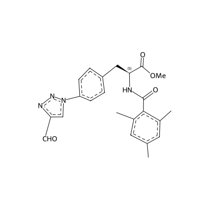 COC(=O)[C@H](Cc1ccc(-n2cc(C=O)nn2)cc1)NC(=O)c1c(C)cc(C)cc1C